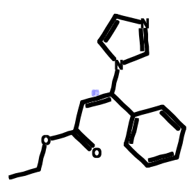 CCOC(=O)/C=C(\c1ccccc1)n1ccnc1